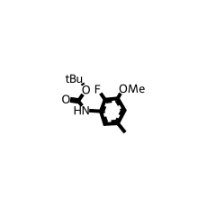 COc1cc(C)cc(NC(=O)OC(C)(C)C)c1F